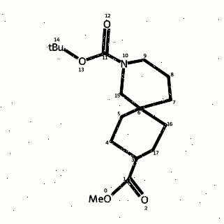 COC(=O)C1CCC2(CCCN(C(=O)OC(C)(C)C)C2)CC1